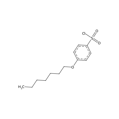 CCCCCCCOc1ccc(S(=O)(=O)Cl)cc1